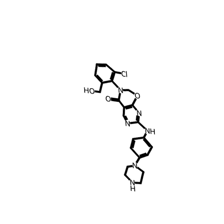 O=C1c2cnc(Nc3ccc(N4CCNCC4)cc3)nc2OCN1c1c(Cl)cccc1CO